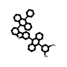 CC(C)(C)c1cc(-c2c3ccccc3c(-c3ccc4c(c3)sc3cccc(-c5c6ccccc6c(-c6ccccc6)c6ccccc56)c34)c3ccccc23)cc(C(C)(C)C)c1